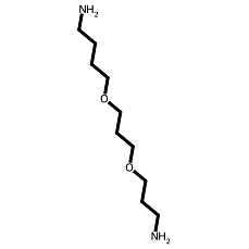 NCCCCOCCCOCCCN